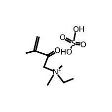 C=C(C)C(=O)C[N+](C)(C)CC.O=S(=O)(O)O